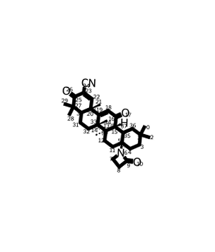 CC1(C)CC[C@]2(N3CCC3=O)CC[C@]3(C)[C@H](C(=O)C=C4[C@@]5(C)C=C(C#N)C(=O)C(C)(C)C5CC[C@]43C)C2C1